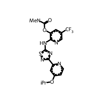 CNC(=O)Oc1cc(C(F)(F)F)cnc1Nc1nc(-c2cc(OC(C)C)ccn2)ns1